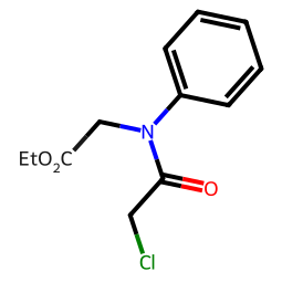 CCOC(=O)CN(C(=O)CCl)c1ccccc1